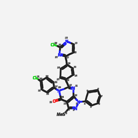 CSc1nn(-c2ccccc2)c2nc(-c3ccc(-c4ccnc(Cl)n4)cc3)n(-c3ccc(Cl)cc3)c(=O)c12